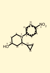 O=[N+]([O-])c1ccc(N2CCC(O)CC2C2CC2)cn1